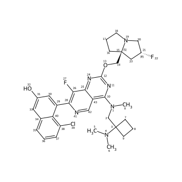 CN(CC1(N(C)C)CCC1)c1nc(OC[C@@]23CCCN2C[C@H](F)C3)nc2c(F)c(-c3cc(O)cc4cccc(Cl)c34)ncc12